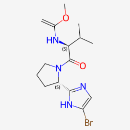 C=C(N[C@H](C(=O)N1CCC[C@H]1c1ncc(Br)[nH]1)C(C)C)OC